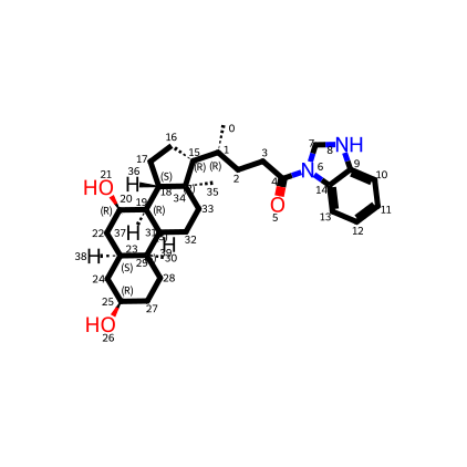 C[C@H](CCC(=O)N1CNc2ccccc21)[C@H]1CC[C@H]2[C@@H]3[C@H](O)C[C@@H]4C[C@H](O)CC[C@]4(C)[C@H]3CC[C@]12C